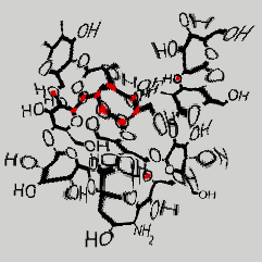 CC1C(O)[C@H](O[C@@H]2OC(CO[C@]3(C(=O)O)C[C@@H](O)[C@@H](N)C([C@H](O)[C@H](O)CO)O3)[C@H](O)C(O)[C@@H]2O)[C@H](CO)O[C@H]1O[C@@H]1C(O)[C@H](O)C(CO)O[C@@H]1OCC(O[C@H](CO)O[C@@H]1C(CO)O[C@@H](O[C@@H]2C(CO)O[C@@H](C)[C@@H](C)C2O)[C@@H](C)C1O)[C@@H](O)[C@@H](C)O[C@H]1O[C@H](CO)[C@@H](O)C(O)C1O[C@@H]1OC(CO)[C@@H](O[C@@H]2OC(CO)[C@H](O)C(O)[C@@H]2O)C(O)[C@@H]1C